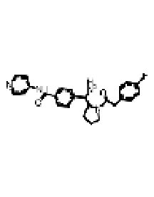 NC(c1ccc(C(=O)Nc2ccncc2)cc1)C1CCCN1C(=O)Cc1ccc(F)cc1